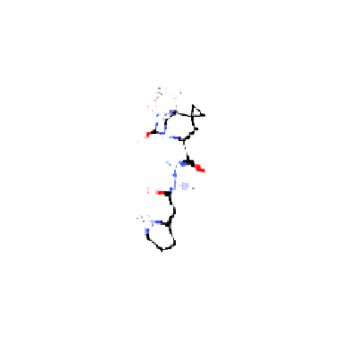 O=C(CC1CCCN1)NNC(=O)[C@@H]1CC2(CC2)[C@@H]2CN1C(=O)N2OS(=O)(=O)O